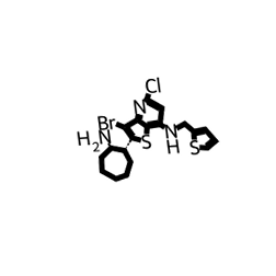 N[C@H]1CCCCC[C@H]1c1sc2c(NCc3cccs3)cc(Cl)nc2c1Br